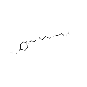 COCCOCCCOCCN1CCC(C)CC1